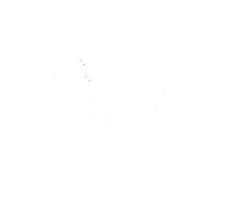 Cc1c(-c2ccccc2)nc(-c2ccccc2)nc1-c1cccc2c1sc1cc(-c3cc(-c4ccc(-c5ccccc5)cc4)cc4c3sc3ccccc34)ccc12